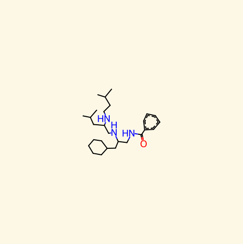 CC(C)CCNC(CNC(CNC(=O)c1ccccc1)CC1CCCCC1)CC(C)C